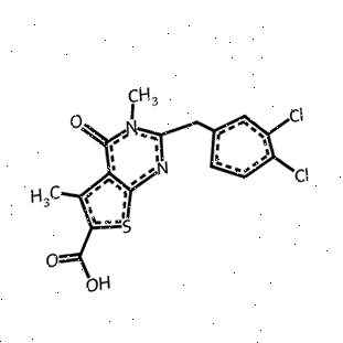 Cc1c(C(=O)O)sc2nc(Cc3ccc(Cl)c(Cl)c3)n(C)c(=O)c12